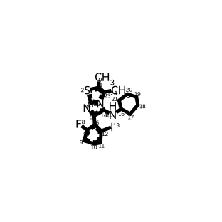 Cc1sc2nc(-c3c(F)cccc3I)c(NC3CCCCC3)n2c1C